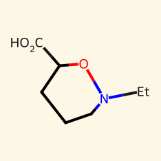 CCN1CCCC(C(=O)O)O1